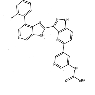 CCCCC(=O)Nc1cncc(-c2ccc3[nH]nc(-c4nc5c(-c6ccccc6F)cncc5[nH]4)c3n2)c1